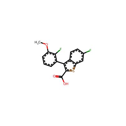 COc1cccc(-c2c(C(=O)O)sc3cc(F)ccc23)c1F